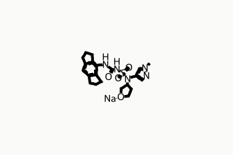 Cn1cc(N(C2CCOC2)S(=O)(=O)NC(=O)Nc2c3c(cc4c2CCC4)CCC3)cn1.[Na]